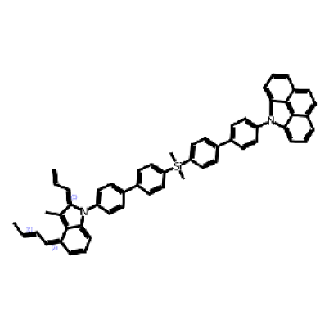 C=C/C=c1\c(C)c2/c(=C\C=C\C)cccc2n1-c1ccc(-c2ccc([Si](C)(C)c3ccc(-c4ccc(-n5c6cccc7ccc8cccc5c8c76)cc4)cc3)cc2)cc1